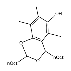 CCCCCCCCC1Oc2c(C)c(C)c(O)c(C)c2C(CCCCCCCC)O1